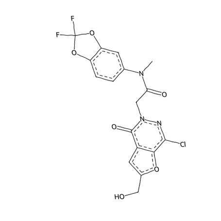 CN(C(=O)Cn1nc(Cl)c2oc(CO)cc2c1=O)c1ccc2c(c1)OC(F)(F)O2